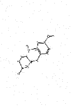 COc1ccc(CN2CCCC(F)S2)c(OC)c1